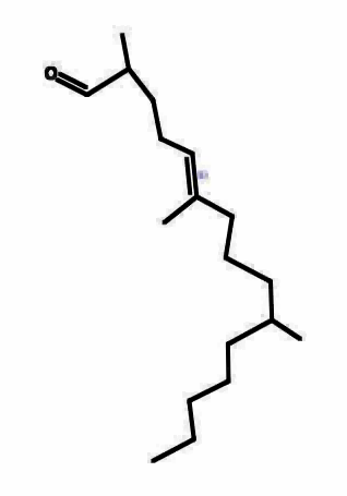 CCCCCC(C)CCC/C(C)=C/CCC(C)C=O